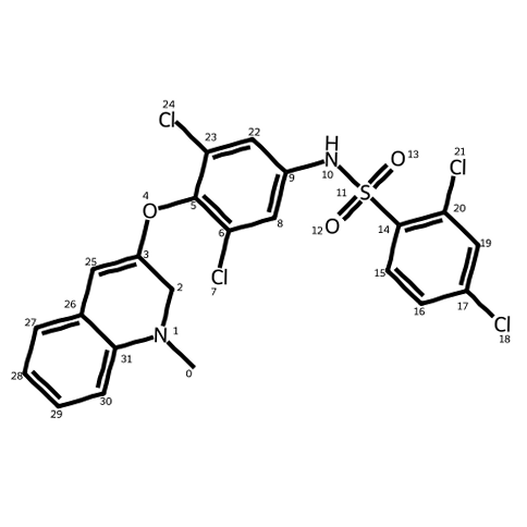 CN1CC(Oc2c(Cl)cc(NS(=O)(=O)c3ccc(Cl)cc3Cl)cc2Cl)=Cc2ccccc21